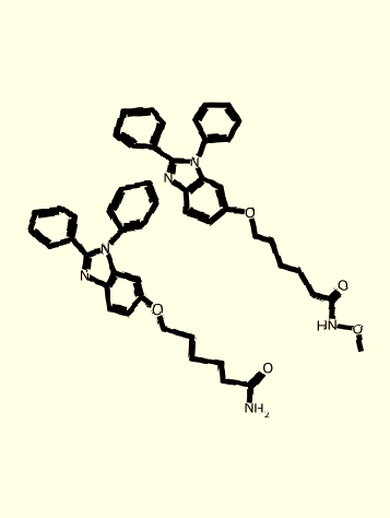 CONC(=O)CCCCCOc1ccc2nc(-c3ccccc3)n(-c3ccccc3)c2c1.NC(=O)CCCCCOc1ccc2nc(-c3ccccc3)n(-c3ccccc3)c2c1